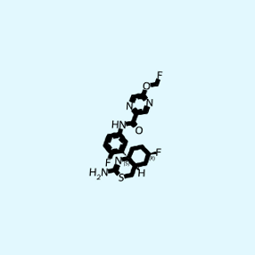 NC1=N[C@@]2(c3cc(NC(=O)c4cnc(OCF)cn4)ccc3F)CC[C@@H](F)C[C@H]2CS1